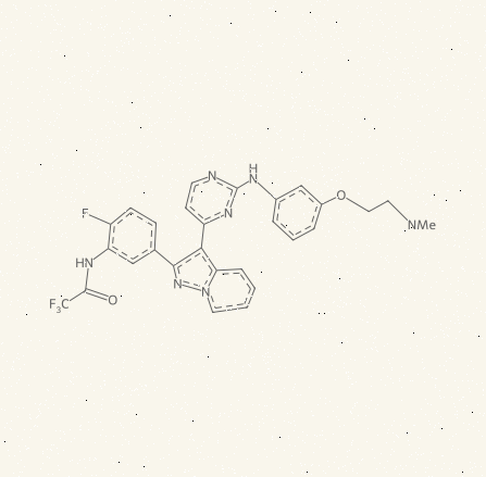 CNCCOc1cccc(Nc2nccc(-c3c(-c4ccc(F)c(NC(=O)C(F)(F)F)c4)nn4ccccc34)n2)c1